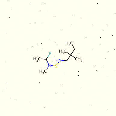 CCC(C)(C)CNSN(C)C(C)F